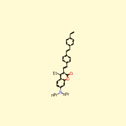 C=Cc1ccc(/C=C/c2ccc(/C=C/c3c(CC)c4ccc(N(CCC)CCC)cc4oc3=O)cc2)cc1